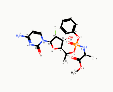 COC(=O)[C@H](C)NP(=O)(Oc1ccccc1)OC(C)[C@H]1O[C@@H](n2ccc(N)nc2=O)[C@@H](F)[C@@H]1O